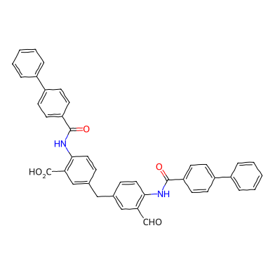 O=Cc1cc(Cc2ccc(NC(=O)c3ccc(-c4ccccc4)cc3)c(C(=O)O)c2)ccc1NC(=O)c1ccc(-c2ccccc2)cc1